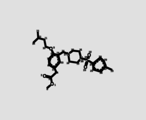 COC(=O)Cc1ccc(OCCC(C)C)c(CN2CCN(S(=O)(=O)c3ccc(C)cc3)CC2)c1